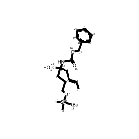 CC=CCC(CCCO[Si](C)(C)C(C)(C)C)(NC(=O)OCc1ccccc1)C(=O)O